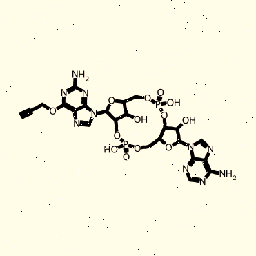 C#CCOc1nc(N)nc2c1ncn2C1OC2COP(=O)(O)OC3C(COP(=O)(O)OC1C2O)OC(n1cnc2c(N)ncnc21)C3O